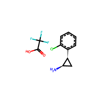 N[C@@H]1C[C@H]1c1ccccc1Cl.O=C(O)C(F)(F)F